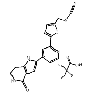 N#CSCc1ccc(-c2cc(-c3cc4c([nH]3)CCNC4=O)ccn2)s1.O=C(O)C(F)(F)F